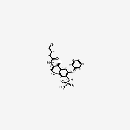 CS(=O)(=O)Nc1cc2occ(NC(=O)CCCCl)c(=O)c2cc1Oc1ccccc1